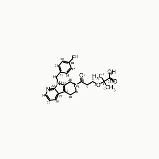 CC(C)(OCCC(=O)N1CCc2c(n(Cc3ccc(F)cc3)c3ncccc23)C1)C(=O)O